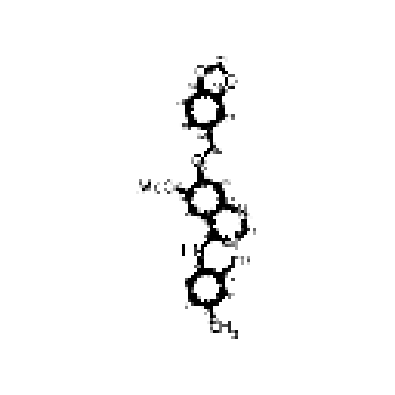 COc1cc2c(Nc3ccc(C)cc3F)ncnc2cc1OCc1ccc2c(c1)OCO2